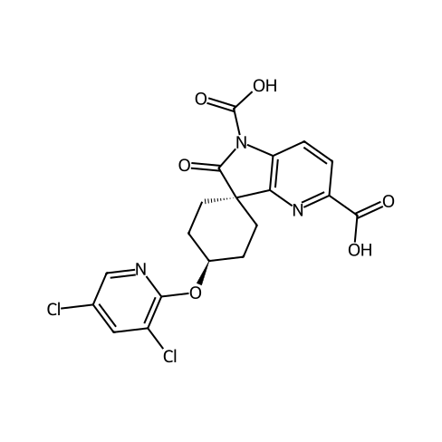 O=C(O)c1ccc2c(n1)[C@]1(CC[C@H](Oc3ncc(Cl)cc3Cl)CC1)C(=O)N2C(=O)O